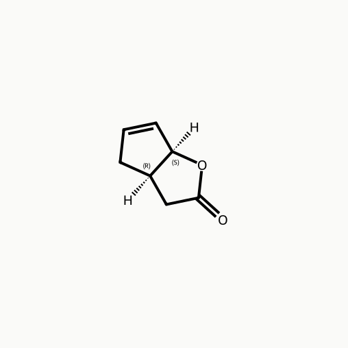 O=C1C[C@H]2CC=C[C@H]2O1